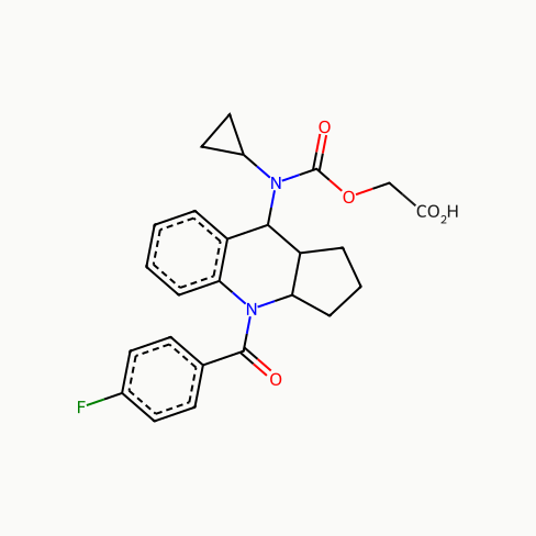 O=C(O)COC(=O)N(C1CC1)C1c2ccccc2N(C(=O)c2ccc(F)cc2)C2CCCC21